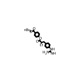 CCCCOC(=O)c1ccc(OC(=O)C(CC)Cc2ccc(NC(=N)N)cc2)cc1